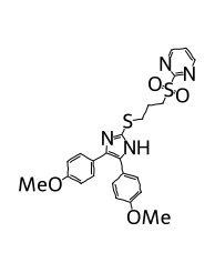 COc1ccc(-c2nc(SCCCS(=O)(=O)c3ncccn3)[nH]c2-c2ccc(OC)cc2)cc1